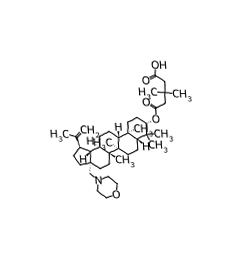 C=C(C)[C@@H]1CC[C@]2(CN3CCOCC3)CC[C@]3(C)[C@H](CC[C@@H]4[C@@]5(C)CC[C@H](OC(=O)CC(C)(C)CC(=O)O)C(C)(C)[C@@H]5CC[C@]43C)[C@@H]12